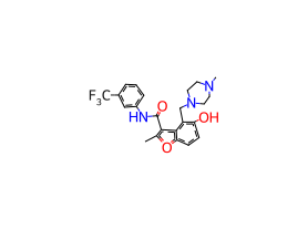 Cc1oc2ccc(O)c(CN3CCN(C)CC3)c2c1C(=O)Nc1cccc(C(F)(F)F)c1